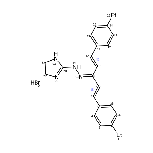 Br.CCc1ccc(/C=C/C(/C=C/c2ccc(CC)cc2)=NNC2=NCCN2)cc1